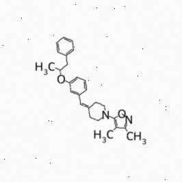 Cc1noc(N2CCC(=Cc3cccc(OC(C)Cc4ccccc4)c3)CC2)c1C